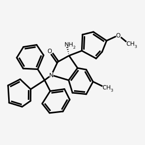 COc1ccc([C@]2(N)C(=O)N(C(c3ccccc3)(c3ccccc3)c3ccccc3)c3ccc(C)cc32)cc1